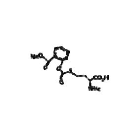 COC(=O)c1ccccc1OC(=O)SCC[C@H](NC(C)=O)C(=O)O